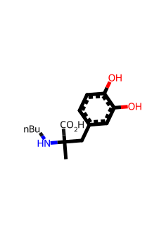 CCCCNC(C)(Cc1ccc(O)c(O)c1)C(=O)O